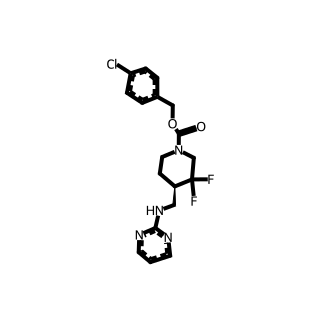 O=C(OCc1ccc(Cl)cc1)N1CC[C@H](CNc2ncccn2)C(F)(F)C1